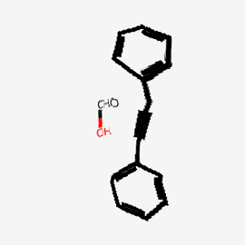 C(#Cc1ccccc1)c1ccccc1.O=CO